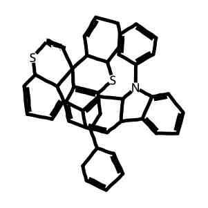 C1=CCC(C2C=CC3=C(C2)SC2CCC=CC2C32C3=CCCC=C3SC3C=CC=C(C4=CC5C(C=C4)c4ccccc4N5c4ccccc4)C32)C=C1